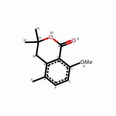 COc1ccc(C)c2c1C(=O)OC(C)(C)C2